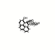 O=S(=O)(O)O.O=S(=O)(O)O.O=S(=O)(O)O.Oc1ccc2ccc3cccc4ccc1c2c34